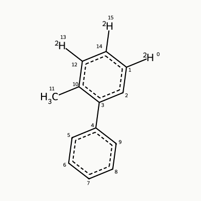 [2H]c1cc(-c2ccccc2)c(C)c([2H])c1[2H]